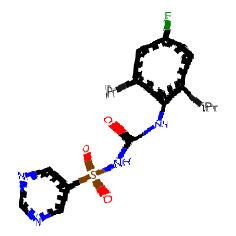 CC(C)c1cc(F)cc(C(C)C)c1NC(=O)NS(=O)(=O)c1cncnc1